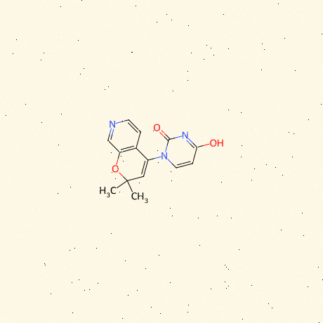 CC1(C)C=C(n2ccc(O)nc2=O)c2ccncc2O1